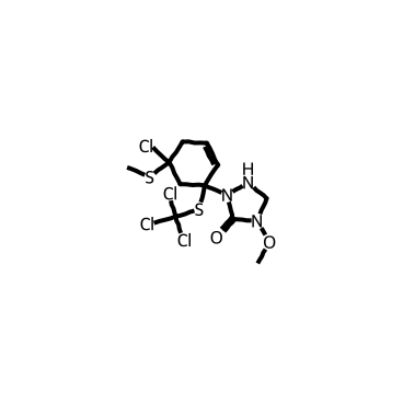 CON1CNN(C2(SC(Cl)(Cl)Cl)C=CCC(Cl)(SC)C2)C1=O